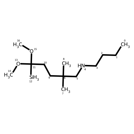 CCCCNCC(C)(C)CCC([SiH3])(OC)OC